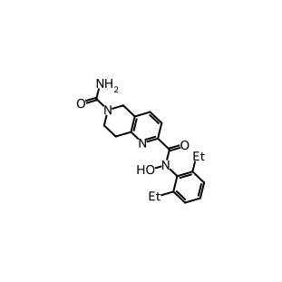 CCc1cccc(CC)c1N(O)C(=O)c1ccc2c(n1)CCN(C(N)=O)C2